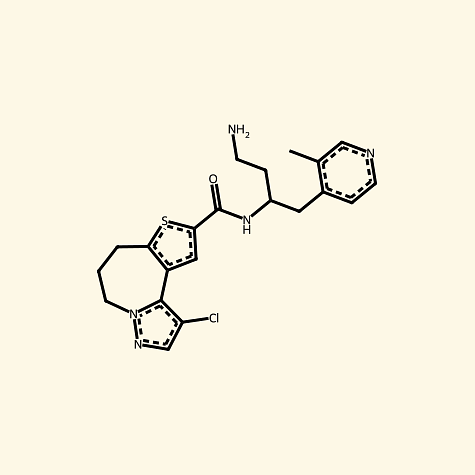 Cc1cnccc1CC(CCN)NC(=O)c1cc2c(s1)CCCn1ncc(Cl)c1-2